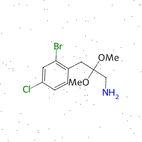 COC(CN)(Cc1ccc(Cl)cc1Br)OC